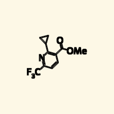 COC(=O)c1ccc(C(F)(F)F)nc1C1CC1